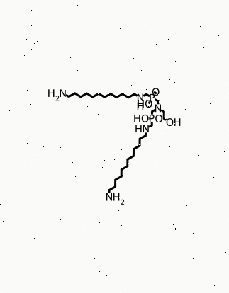 NCCCCCCCCCCCCNCP(=O)(O)CN(CCO)CP(=O)(O)CNCCCCCCCCCCCCN